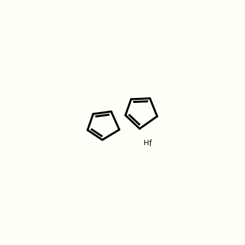 C1=CCC=C1.C1=CCC=C1.[Hf]